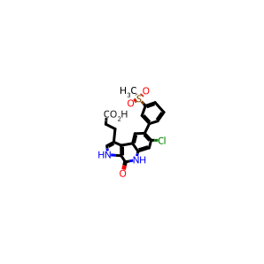 CS(=O)(=O)c1cccc(-c2cc3c(cc2Cl)[nH]c(=O)c2[nH]cc(CCC(=O)O)c23)c1